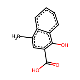 Bc1cc(C(=O)O)c(O)c2ccccc12